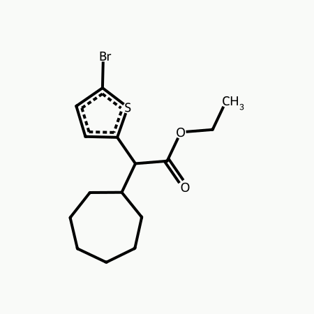 CCOC(=O)C(c1ccc(Br)s1)C1CCCCCC1